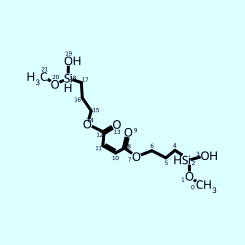 CO[SiH](O)CCCOC(=O)/C=C\C(=O)OCCC[SiH](O)OC